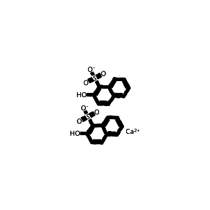 O=S(=O)([O-])c1c(O)ccc2ccccc12.O=S(=O)([O-])c1c(O)ccc2ccccc12.[Ca+2]